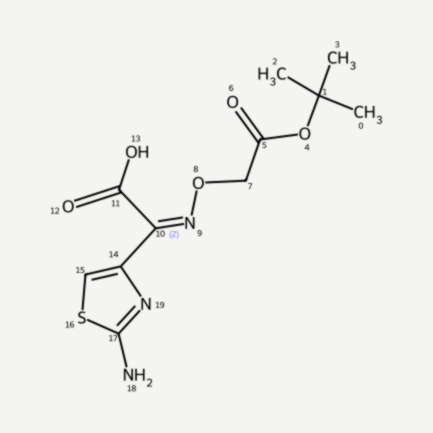 CC(C)(C)OC(=O)CO/N=C(\C(=O)O)c1csc(N)n1